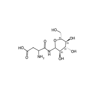 NC(CC(=O)O)C(=O)NC1O[C@H](CO)[C@@H](O)[C@H](O)[C@H]1O